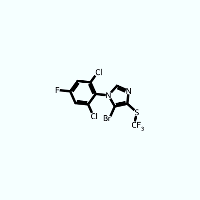 Fc1cc(Cl)c(-n2cnc(SC(F)(F)F)c2Br)c(Cl)c1